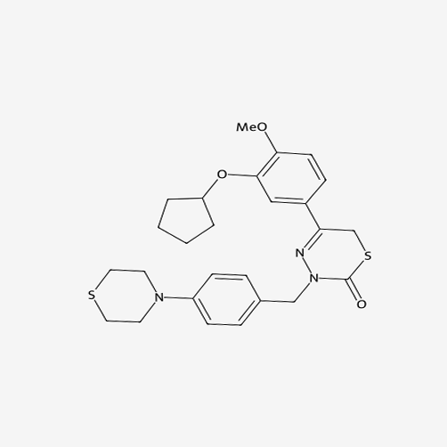 COc1ccc(C2=NN(Cc3ccc(N4CCSCC4)cc3)C(=O)SC2)cc1OC1CCCC1